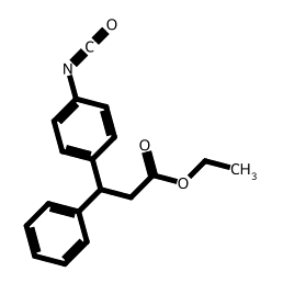 CCOC(=O)CC(c1ccccc1)c1ccc(N=C=O)cc1